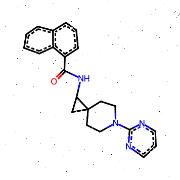 O=C(NC1CC12CCN(c1ncccn1)CC2)c1cccc2ccccc12